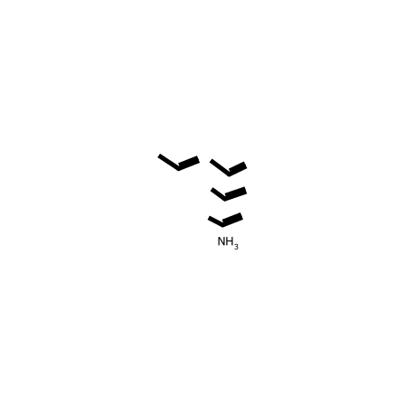 C=CC.C=CC.C=CC.C=CC.N